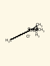 CCCCCCCCC=CCCCCCCCC(=O)OCC(O)C[N+](CCC)(CCC)CCC.[Cl-]